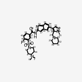 CN(C)C1CCN(S(=O)(=O)c2cc(C(=O)Nc3cc4cc(-c5cnn(C)c5CN5CCCCC5)ccc4cn3)ccc2F)CC1